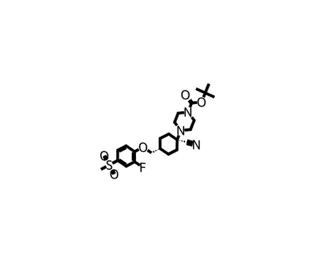 CC(C)(C)OC(=O)N1CCN([C@]2(C#N)CC[C@@H](COc3ccc(S(C)(=O)=O)cc3F)CC2)CC1